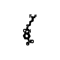 O=[N+]([O-])c1ccc2oc(SCCC=C(F)F)nc2c1